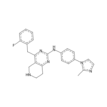 Cc1nccn1-c1ccc(Nc2nc3c(c(Cc4ccccc4F)n2)CNCC3)cc1